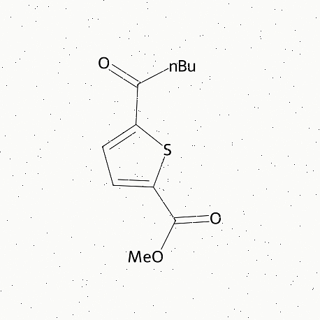 CCCCC(=O)c1ccc(C(=O)OC)s1